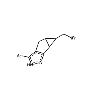 CC(=O)c1[nH]nc2c1CC1C(CC(C)C)C21